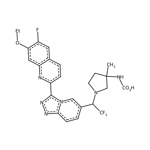 CCOc1cc2nc(-c3nnc4ccc(C(N5CCC(C)(NC(=O)O)C5)C(F)(F)F)cn34)ccc2cc1F